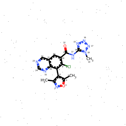 Cc1noc(C)c1-c1c(Cl)c(C(=O)Nc2nnnn2C)cc2cncnc12